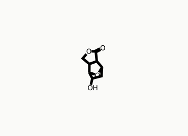 O=C1OCC2C3OC(CC3O)C12